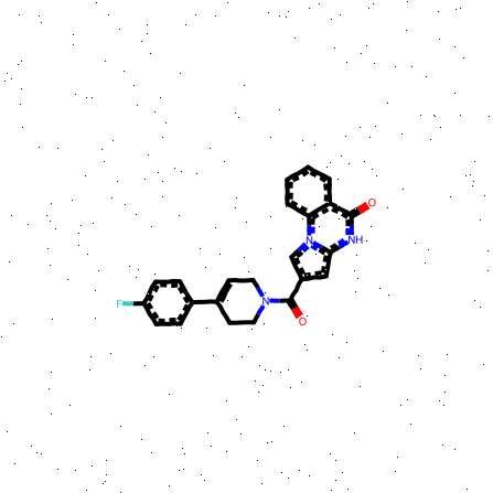 O=C(c1cc2[nH]c(=O)c3ccccc3n2c1)N1CC=C(c2ccc(F)cc2)CC1